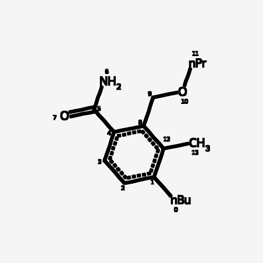 CCCCc1ccc(C(N)=O)c(COCCC)c1C